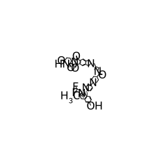 C[C@@H]1Cc2cc(O)ccc2[C@@H](c2ccc(N3CCC(C(=O)N4CC(CN5Cc6cc7c(cc6C5)C(=O)N(C5CCC(=O)NC5=O)C7=O)C4)CC3)cn2)N1CC(F)F